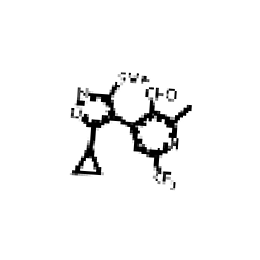 CSc1noc(C2CC2)c1-c1cc(C(F)(F)F)nc(C)c1C=O